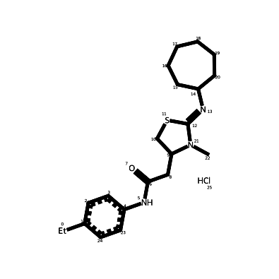 CCc1ccc(NC(=O)CC2CSC(=NC3CCCCCC3)N2C)cc1.Cl